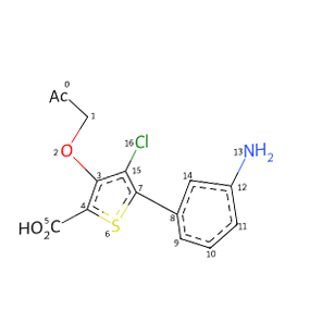 CC(=O)COc1c(C(=O)O)sc(-c2cccc(N)c2)c1Cl